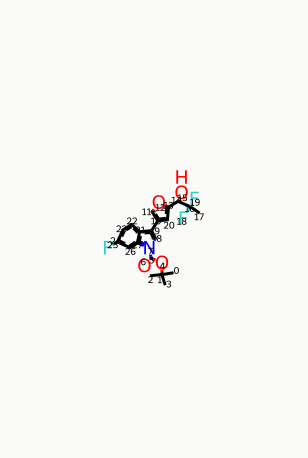 CC(C)(C)OC(=O)n1cc(-c2coc(C(O)C(C)(F)F)c2)c2ccc(F)cc21